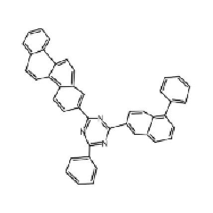 c1ccc(-c2nc(-c3ccc4c(-c5ccccc5)cccc4c3)nc(-c3ccc4c(ccc5c6ccccc6ccc45)c3)n2)cc1